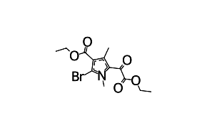 CCOC(=O)C(=O)c1c(C)c(C(=O)OCC)c(Br)n1C